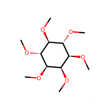 CO[C@H]1[C@H](OC)[C@@H](OC)[C@H](OC)[C@@H](OC)[C@H]1OC